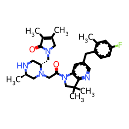 CC1=C(C)C(=O)N(C[C@H]2CN[C@H](C)CN2CC(=O)N2CC(C)(C)c3ncc(Cc4ccc(F)cc4C)cc32)C1